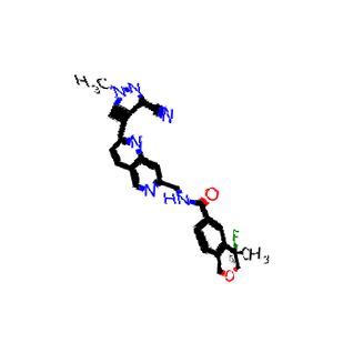 Cn1cc(-c2ccc3cnc(CNC(=O)c4ccc5c(c4)[C@](C)(F)COC5)cc3n2)c(C#N)n1